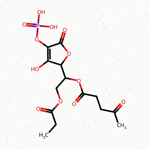 CCC(=O)OCC(OC(=O)CCC(C)=O)C1OC(=O)C(OP(=O)(O)O)=C1O